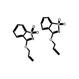 C=CCOC1=NS(=O)(=O)c2ccccc21.C=CCOC1=NS(=O)(=O)c2ccccc21